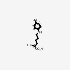 Nc1ccc(NCCCC[C@H](N)C(=O)O)cc1